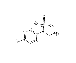 NCC(c1ccc(Br)cc1)P(=O)(O)O